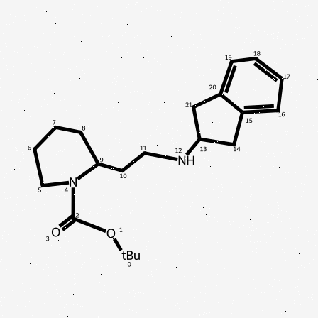 CC(C)(C)OC(=O)N1CCCCC1CCNC1Cc2ccccc2C1